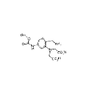 CC(C)(C)OC(=O)Nc1ccc(CN)c(N(CC(=O)O)CC(=O)O)c1